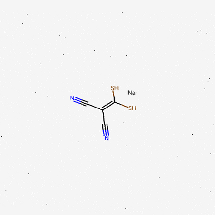 N#CC(C#N)=C(S)S.[Na]